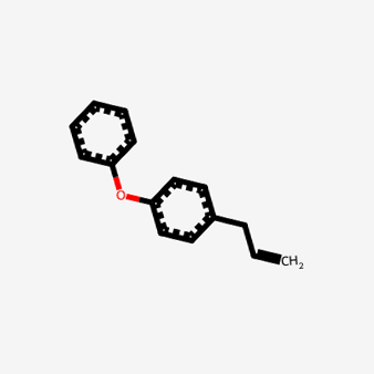 C=CCc1ccc(Oc2ccccc2)cc1